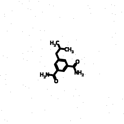 CC(C)Cc1cc(C(N)=O)cc(C(N)=O)c1